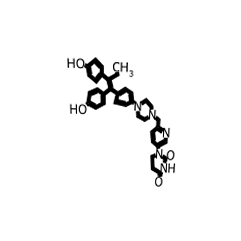 CCC(=C(c1ccc(O)cc1)c1ccc(N2CCN(Cc3ccc(N4CCC(=O)NC4=O)cn3)CC2)cc1)c1ccc(O)cc1